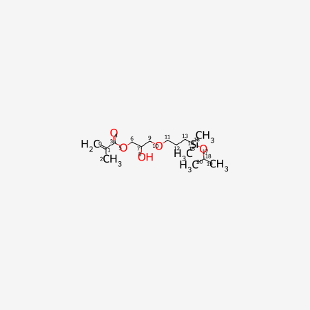 C=C(C)C(=O)OCC(O)COCCC[Si](C)(C)OC(C)C